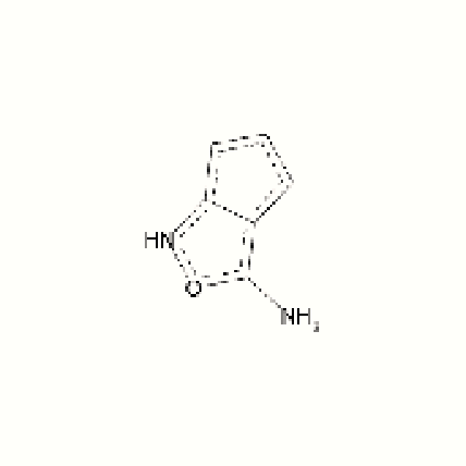 Nc1o[nH]c2cccc1-2